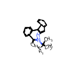 CC(NC(C)(C)C)c1ccccc1C1C=Cc2ccccc21